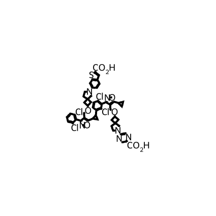 O=C(O)c1cnc(N2CCC3(CC(OCc4c(-c5c(Cl)ccc(C6CC6c6onc(-c7c(Cl)cccc7Cl)c6COC6CC7(CCN(c8ccc9cc(C(=O)O)sc9c8)C7)C6)c5Cl)noc4C4CC4)C3)C2)cn1